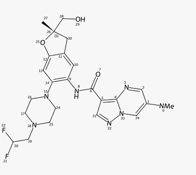 CNc1cnc2c(C(=O)Nc3cc4c(cc3N3CCN(CC(F)F)CC3)O[C@](C)(CO)C4)cnn2c1